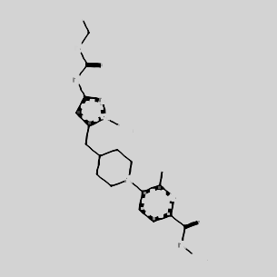 CCNC(=O)Nc1cc(CC2CCN(c3ccc(C(=O)NC)nc3F)CC2)n(C)n1